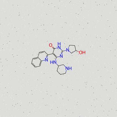 O=c1[nH]c(N2CCC(O)C2)nc(NC2CCCNC2)c1-c1ccc2ccccc2n1